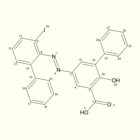 O=C(O)c1cc(N=Nc2c(I)cccc2-c2ccccc2)cc(-c2ccccc2)c1O